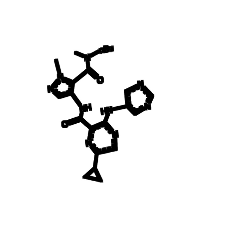 CCCCN(C)C(=O)c1c(NC(=O)c2nc(C3CC3)cnc2Nc2cncnc2)cnn1C